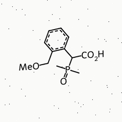 COCc1ccccc1C(C(=O)O)P(C)(C)=O